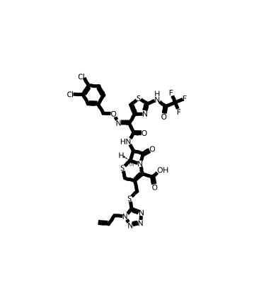 C=CCn1nnnc1SCC1=C(C(=O)O)N2C(=O)C(NC(=O)C(=NOCc3ccc(Cl)c(Cl)c3)c3csc(NC(=O)C(F)(F)F)n3)[C@@H]2SC1